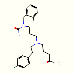 COC(=O)CCCN(CCCN(Cc1ccccc1C)C(N)=O)CCc1ccc(Cl)cc1